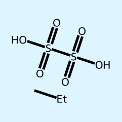 CCC.O=S(=O)(O)S(=O)(=O)O